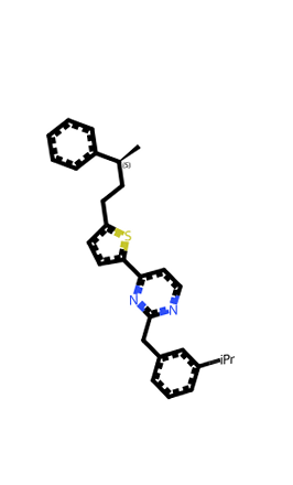 CC(C)c1cccc(Cc2nccc(-c3ccc(CC[C@H](C)c4ccccc4)s3)n2)c1